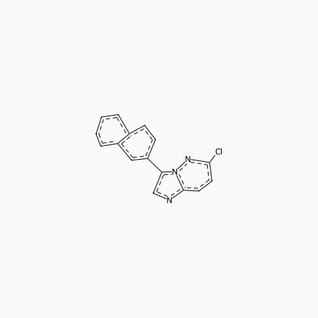 Clc1ccc2ncc(-c3ccc4ccccc4c3)n2n1